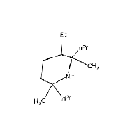 CCCC1(C)CCC(CC)C(C)(CCC)N1